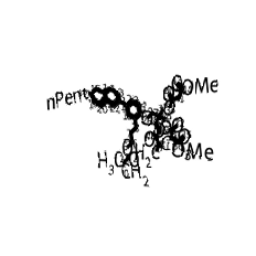 C=C(C)C(=O)OCCCc1cc(-c2ccc3cc(CCCCC)ccc3c2)ccc1OCC(COC(=O)CC(=O)OC)(COC(=O)CC(=O)OC)COC(=O)C(=C)C